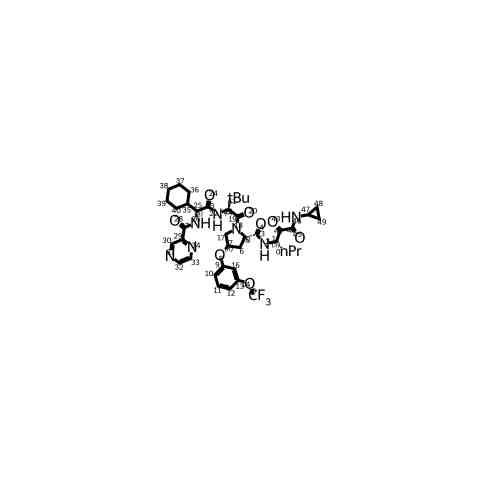 CCC[C@H](NC(=O)[C@@H]1C[C@@H](Oc2cccc(OC(F)(F)F)c2)CN1C(=O)[C@@H](NC(=O)[C@@H](NC(=O)c1cnccn1)C1CCCCC1)C(C)(C)C)C(=O)C(=O)NC1CC1